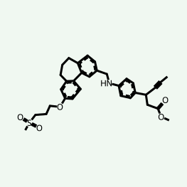 CC#CC(CC(=O)OC)c1ccc(NCc2ccc3c(c2)-c2ccc(OCCCS(C)(=O)=O)cc2CCC3)cc1